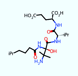 CC(C)CCCC(=O)N[C@](O)(C(=O)N[C@H](C(=O)N[C@@H](CCC(=O)O)C(=O)O)C(C)C)C(C)(C)N